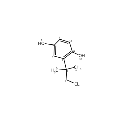 CC(C)(CCl)c1cc(O)ccc1O